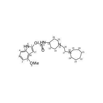 COc1cccc2[nH]c(OC(=O)NC3CCN(CCN4CCCCCC4)CC3)cc12